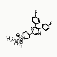 CN(C)S(=O)(=O)N1CCC(c2cnc(-c3ccc(F)cc3)c(-c3ccc(F)cc3)n2)CC1